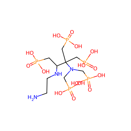 NCCNC(CP(=O)(O)O)C(CP(=O)(O)O)(CP(=O)(O)O)N(CP(=O)(O)O)CP(=O)(O)O